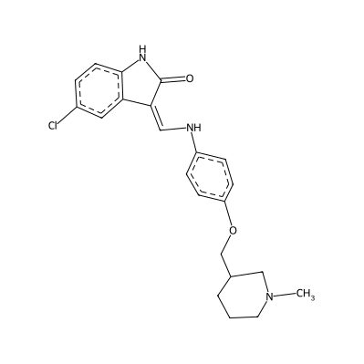 CN1CCCC(COc2ccc(N/C=C3\C(=O)Nc4ccc(Cl)cc43)cc2)C1